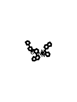 c1ccc(-c2ccc3oc4c(ccc5c4c4c6ccccc6ccc4n5-c4nc(-c5ccc6ccccc6c5)c5ccccc5n4)c3c2)cc1